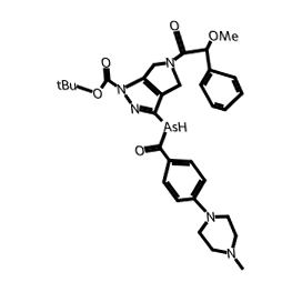 COC(C(=O)N1Cc2c([AsH]C(=O)c3ccc(N4CCN(C)CC4)cc3)nn(C(=O)OC(C)(C)C)c2C1)c1ccccc1